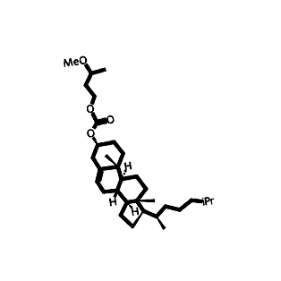 COC(C)CCOC(=O)O[C@H]1CC[C@@]2(C)C(=CC[C@H]3[C@@H]4CC[C@H]([C@H](C)CCCC(C)C)[C@@]4(C)CC[C@@H]32)C1